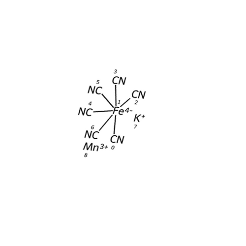 N#[C][Fe-4]([C]#N)([C]#N)([C]#N)([C]#N)[C]#N.[K+].[Mn+3]